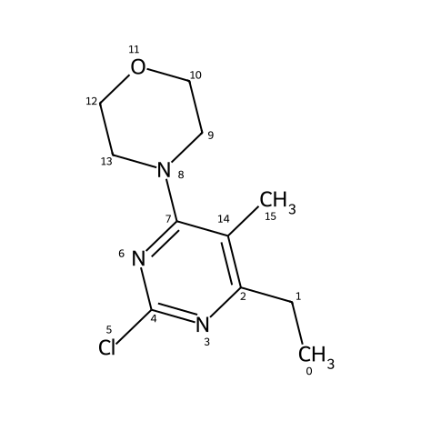 CCc1nc(Cl)nc(N2CCOCC2)c1C